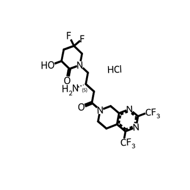 Cl.N[C@@H](CC(=O)N1CCc2c(nc(C(F)(F)F)nc2C(F)(F)F)C1)CN1CC(F)(F)CC(O)C1=O